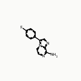 Nc1nccn2c(-c3ccc(F)cc3)cnc12